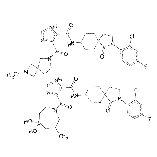 CC1CN(C(=O)c2nc[nH]c2C(=O)NC2CCC3(CC2)CCN(c2ccc(F)cc2Cl)C3=O)CCS(O)(O)C1.CN1CC2(CCN(C(=O)c3nc[nH]c3C(=O)NC3CCC4(CC3)CCN(c3ccc(F)cc3Cl)C4=O)C2)C1